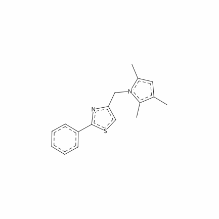 Cc1cc(C)n(Cc2csc(-c3ccccc3)n2)c1C